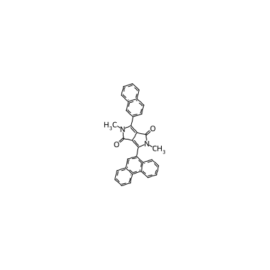 CN1C(=O)C2=C(c3cc4ccccc4c4ccccc34)N(C)C(=O)C2=C1c1ccc2ccccc2c1